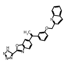 C=C(c1cccc(OCc2ccc3ccccc3n2)c1)c1ccc2nc(-c3nnn[nH]3)oc2c1